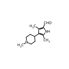 Cc1[nH]c(C=O)c(C)c1C1CCN(C)CC1